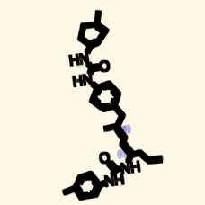 C=CC/C(=C\C=C(/C)Cc1ccc(NC(=O)NC2=CC=C(C)CC2)cc1)NC(=O)Nc1ccc(C)cc1